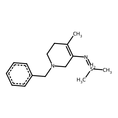 CC1=C(N=[SH2](C)C)CN(Cc2ccccc2)CC1